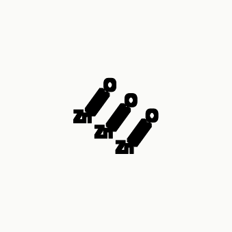 [O]=[Zn].[O]=[Zn].[O]=[Zn]